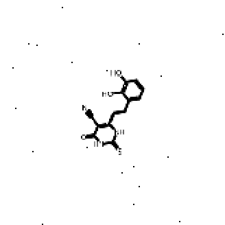 N#Cc1c(CCc2cccc(O)c2O)[nH]c(=S)[nH]c1=O